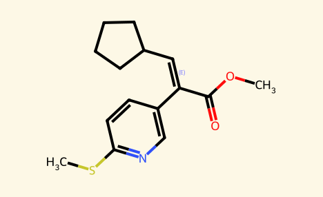 COC(=O)/C(=C/C1CCCC1)c1ccc(SC)nc1